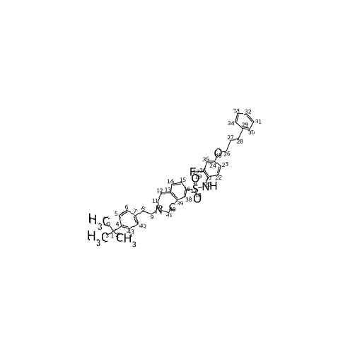 CC(C)(C)c1ccc(CCN2CCc3ccc(S(=O)(=O)Nc4ccc(OCCCc5ccccc5)cc4F)cc3CC2)cc1